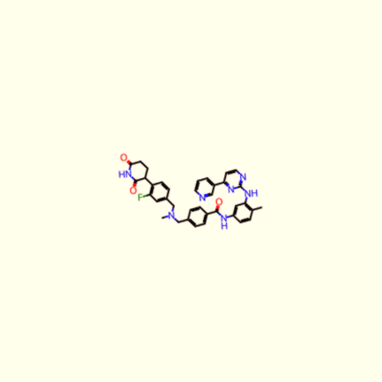 Cc1ccc(NC(=O)c2ccc(CN(C)Cc3ccc(C4CCC(=O)NC4=O)c(F)c3)cc2)cc1Nc1nccc(-c2cccnc2)n1